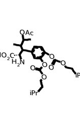 CC(=O)OC(C)C(C)C(c1ccc(OC(=O)OCCC(C)C)c(OC(=O)OCCC(C)C)c1)[C@H](N)C(=O)O